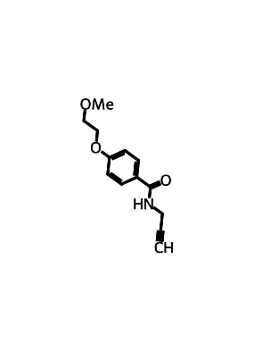 C#CCNC(=O)c1ccc(OCCOC)cc1